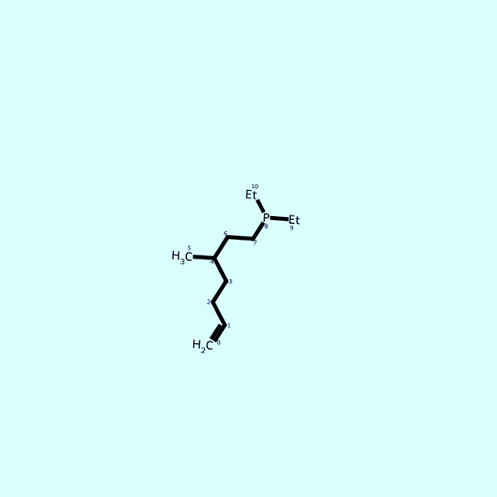 C=CCCC(C)CCP(CC)CC